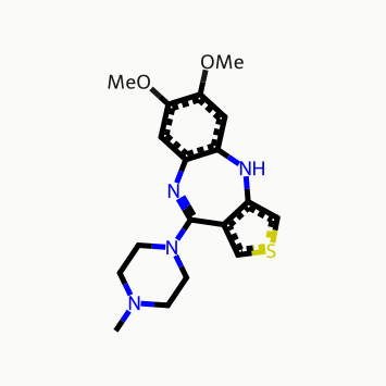 COc1cc2c(cc1OC)Nc1cscc1C(N1CCN(C)CC1)=N2